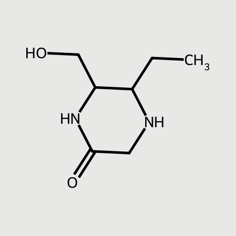 CCC1NCC(=O)NC1CO